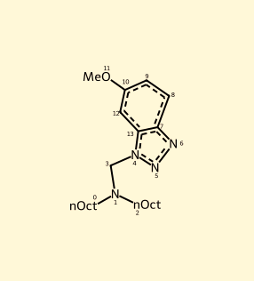 CCCCCCCCN(CCCCCCCC)Cn1nnc2ccc(OC)cc21